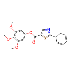 COc1cc(OC(=O)c2cnc(C3C=CC=CC3)s2)cc(OC)c1OC